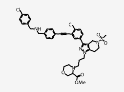 COC(=O)C1COCCN1CCCn1nc(-c2ccc(Cl)c(C#Cc3ccc(CNCc4ccc(Cl)cc4)cc3)c2)c2c1CCN(S(C)(=O)=O)C2